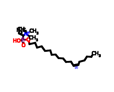 CCCCC/C=C\CCCCCCCCCCCCOP(=O)(O)C(CC)[N+](C)(C)C